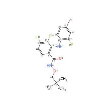 CC(C)(C)CONC(=O)c1ccc(F)c(F)c1Nc1ccc(I)cc1F